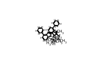 CC(C)CC1=Cc2c(-c3ccccc3)cccc2[CH]1[Zr]([Cl])([Cl])([CH]1C(CC(C)C)=Cc2c(-c3ccccc3)cccc21)[SiH](C)C